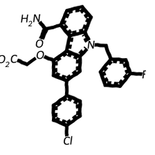 NC(=O)c1cccc2c1c1c(OCC(=O)O)cc(-c3ccc(Cl)cc3)cc1n2Cc1cccc(F)c1